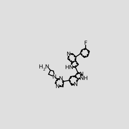 NC1CN(c2cncc(-c3cnc4[nH]nc(-c5cc6c(-c7cccc(F)c7)cncc6[nH]5)c4c3)n2)C1